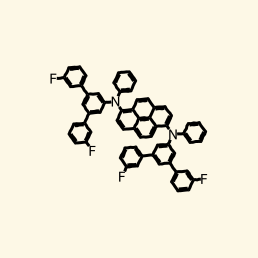 Fc1cccc(-c2cc(-c3cccc(F)c3)cc(N(c3ccccc3)c3ccc4ccc5c(N(c6ccccc6)c6cc(-c7cccc(F)c7)cc(-c7cccc(F)c7)c6)ccc6ccc3c4c65)c2)c1